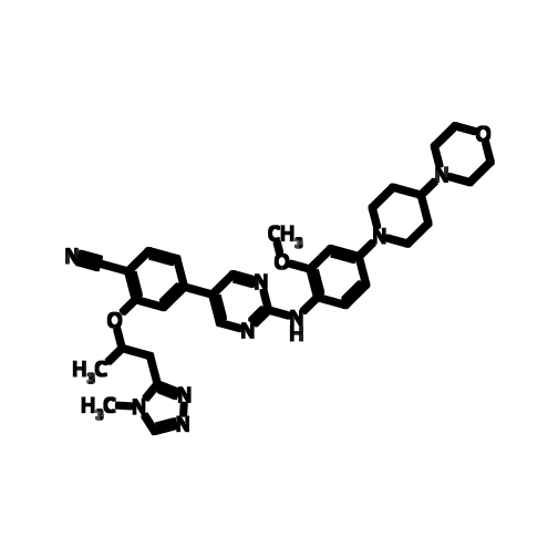 COc1cc(N2CCC(N3CCOCC3)CC2)ccc1Nc1ncc(-c2ccc(C#N)c(OC(C)Cc3nncn3C)c2)cn1